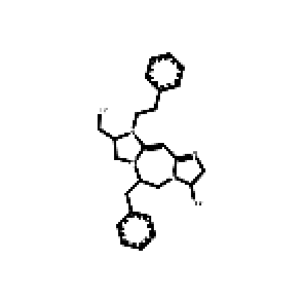 CC(C)CC1CN2C(=CC3=NCC(C(C)C)N3CC2Cc2ccccc2)N1CCc1ccccc1